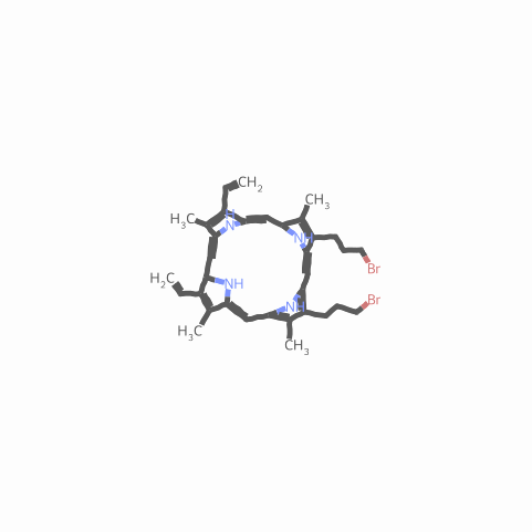 C=CC1=C(C)/C2=C/c3[nH]c(c(CCCBr)c3C)/C=C3\NC(/C=c4\[nH]/c(c(C)c4C=C)=C\C1N2)C(C)=C3CCCBr